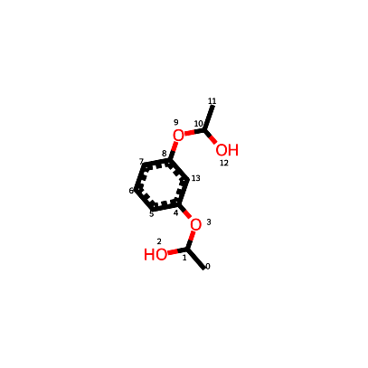 CC(O)Oc1cccc(OC(C)O)c1